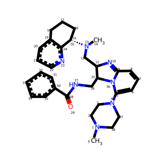 CN1CCN(C2=CC=CC3=NC(CN(C)[C@H]4CCCc5cccnc54)C(CNC(=O)c4ccccc4)N23)CC1